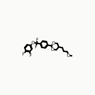 COCCCC1COC(c2ccc(C(F)(F)Oc3ccc(F)c(F)c3)cc2)OC1